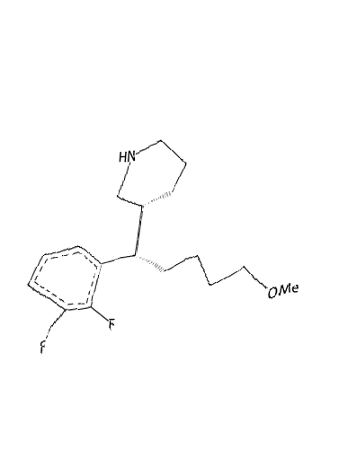 COCCCC[C@H](c1cccc(F)c1F)[C@H]1CCCNC1